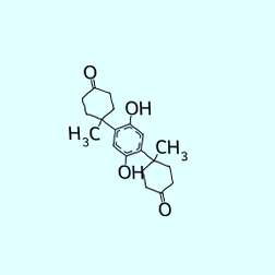 CC1(c2cc(O)c(C3(C)CCC(=O)CC3)cc2O)CCC(=O)CC1